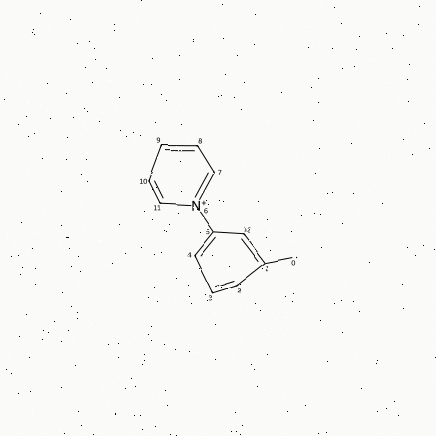 [CH2]c1cccc(-[n+]2ccccc2)c1